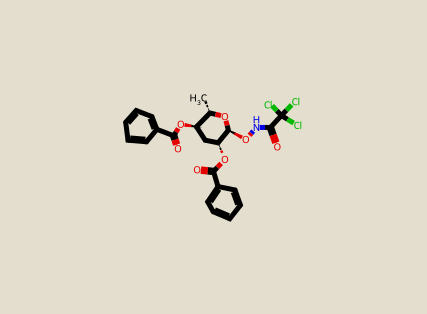 C[C@@H]1O[C@@H](ONC(=O)C(Cl)(Cl)Cl)[C@H](OC(=O)c2ccccc2)C[C@H]1OC(=O)c1ccccc1